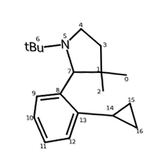 CC1(C)CCN(C(C)(C)C)C1c1ccccc1C1CC1